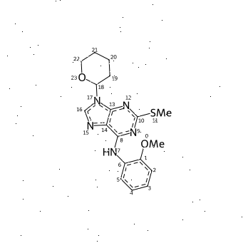 COc1ccccc1Nc1nc(SC)nc2c1ncn2C1CCCCO1